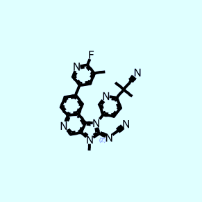 Cc1cc(-c2ccc3ncc4c(c3c2)n(-c2ccc(C(C)(C)C#N)nc2)/c(=N\C#N)n4C)cnc1F